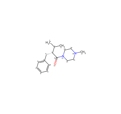 CC(C)[C@@H](Cc1ccccc1)C(=O)N1CCN(C)CC1